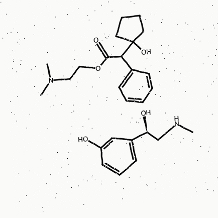 CN(C)CCOC(=O)C(c1ccccc1)C1(O)CCCC1.CNC[C@H](O)c1cccc(O)c1